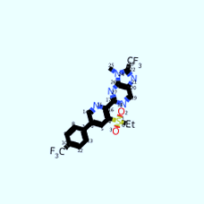 CCS(=O)(=O)c1cc(-c2ccc(C(F)(F)F)cc2)cnc1-c1ncc2nc(C(F)(F)F)n(C)c2n1